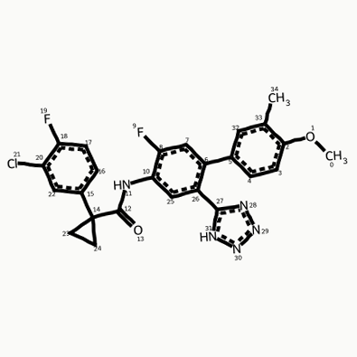 COc1ccc(-c2cc(F)c(NC(=O)C3(c4ccc(F)c(Cl)c4)CC3)cc2-c2nnn[nH]2)cc1C